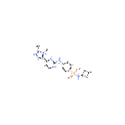 CCc1ncc(-c2ccnc(Nc3ccc(S(=O)(=O)NC4CCC4)cc3)n2)n1C